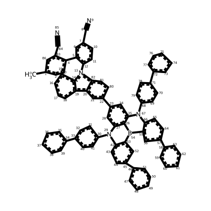 Cc1ccc(-c2cc(C#N)ccc2-n2c3ccccc3c3cc(-c4cc5c6c(c4)N(c4ccc(-c7ccccc7)cc4)c4ccc(-c7ccccc7)cc4B6c4cc(-c6ccccc6)ccc4N5c4ccc(-c5ccccc5)cc4)ccc32)c(C#N)c1